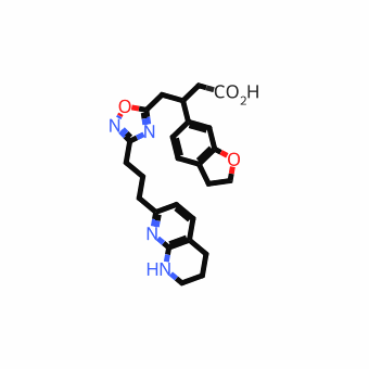 O=C(O)CC(Cc1nc(CCCc2ccc3c(n2)NCCC3)no1)c1ccc2c(c1)OCC2